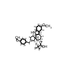 COc1ccc(CN2CCC3(C2)NCCc2c3[nH]c3ccc(OC)cc23)cc1.O=C(O)C(F)(F)F